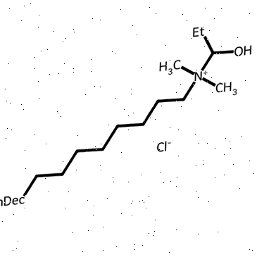 CCCCCCCCCCCCCCCCCC[N+](C)(C)C(O)CC.[Cl-]